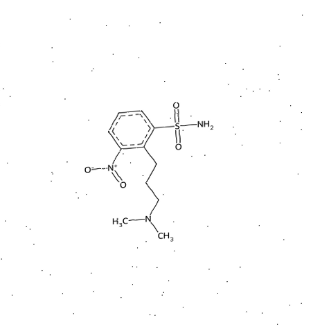 CN(C)CCCc1c([N+](=O)[O-])cccc1S(N)(=O)=O